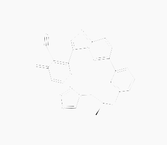 C[C@@H](Cn1cnnn1)Oc1cccc(-c2ccc3ncc(-c4[nH]ccc(=O)c4C#N)n3n2)c1